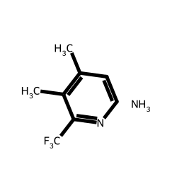 Cc1ccnc(C(F)(F)F)c1C.N